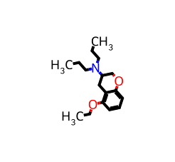 CCCN(CCC)C1COc2cccc(OCC)c2C1